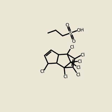 CCCS(=O)(=O)O.ClC1=C(Cl)C2(Cl)C3C(Cl)C=CC3C1(Cl)C2(Cl)Cl